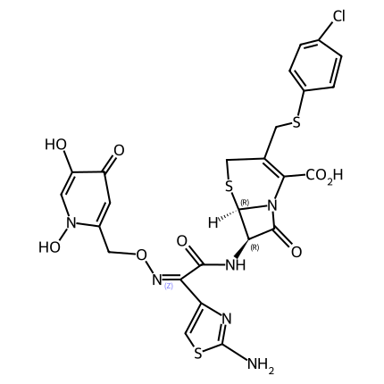 Nc1nc(/C(=N/OCc2cc(=O)c(O)cn2O)C(=O)N[C@@H]2C(=O)N3C(C(=O)O)=C(CSc4ccc(Cl)cc4)CS[C@H]23)cs1